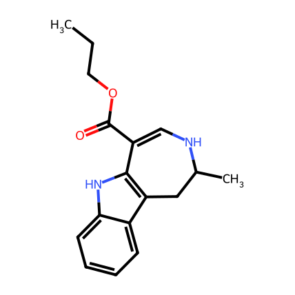 CCCOC(=O)C1=CNC(C)Cc2c1[nH]c1ccccc21